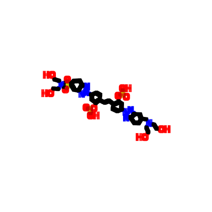 O=S(O)Oc1cc(-n2nc3ccc(CN(CCO)CCO)cc3n2)ccc1/C=C/c1ccc(-n2nc3ccc(S(=O)(=O)N(CCO)CCO)cc3n2)cc1OS(=O)O